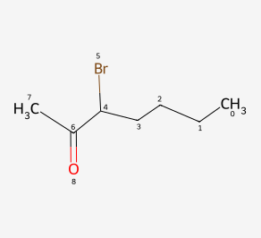 CCCCC(Br)C(C)=O